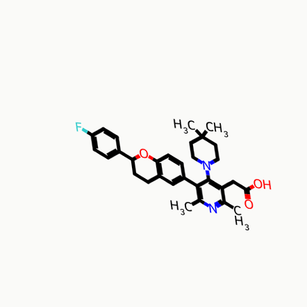 Cc1nc(C)c(-c2ccc3c(c2)CCC(c2ccc(F)cc2)O3)c(N2CCC(C)(C)CC2)c1CC(=O)O